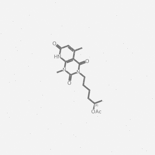 CC(=O)O[C@H](C)CCCCn1c(=O)c2c(C)cc(=O)[nH]c2n(C)c1=O